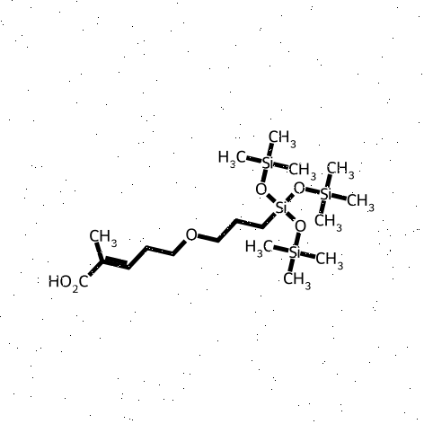 CC(=CCCOCCC[Si](O[Si](C)(C)C)(O[Si](C)(C)C)O[Si](C)(C)C)C(=O)O